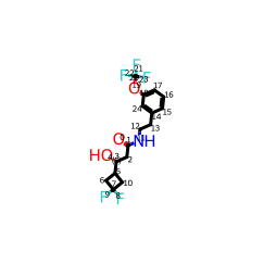 O=C(C[C@H](O)C1CC(F)(F)C1)NCCc1cccc(OC(F)(F)F)c1